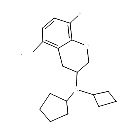 O=C(O)c1ccc(F)c2c1CC(N(C1CCCC1)C1CCC1)CO2